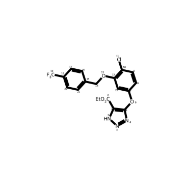 CCOC(=O)c1[nH]nnc1Oc1ccc(Cl)c(OCc2ccc(C(F)(F)F)cc2)c1